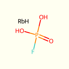 O=P(O)(O)F.[RbH]